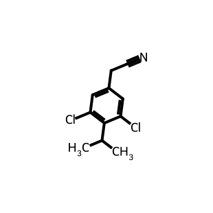 CC(C)c1c(Cl)cc(CC#N)cc1Cl